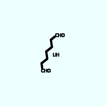 O=CCCCCCC=O.[LiH]